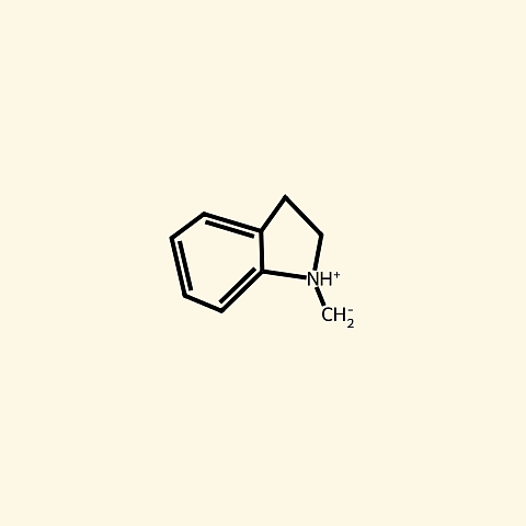 [CH2-][NH+]1CCc2ccccc21